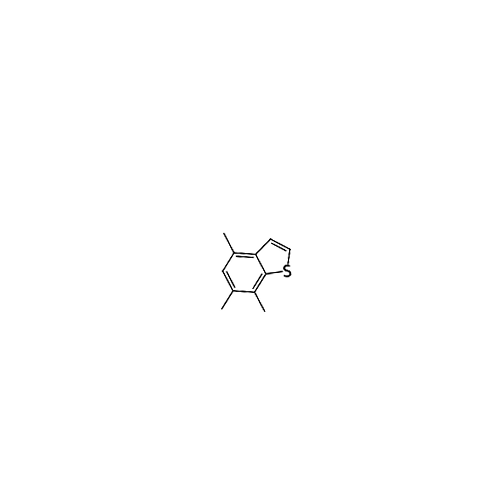 Cc1cc(C)c2ccsc2c1C